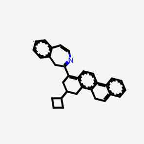 [c]1ccc2c(c1)C=CN=C(C1=c3ccc4c(c3CC(C3CCC3)C1)CC=c1ccccc1=4)C2